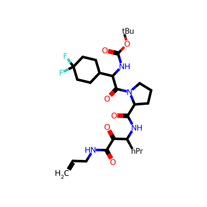 C=CCNC(=O)C(=O)C(CCC)NC(=O)C1CCCN1C(=O)C(NC(=O)OC(C)(C)C)C1CCC(F)(F)CC1